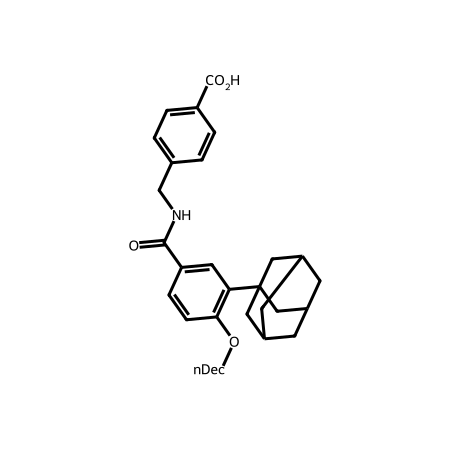 CCCCCCCCCCOc1ccc(C(=O)NCc2ccc(C(=O)O)cc2)cc1C12CC3CC(CC(C3)C1)C2